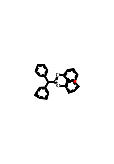 c1ccc(OP(Oc2ccccc2)C(c2ccccc2)c2ccccc2)cc1